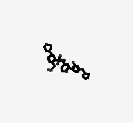 COc1ncc(N2CCOCC2)cc1S(=O)(=O)Nc1ccnc(-c2ccc(CN3CCCC3)cc2F)c1